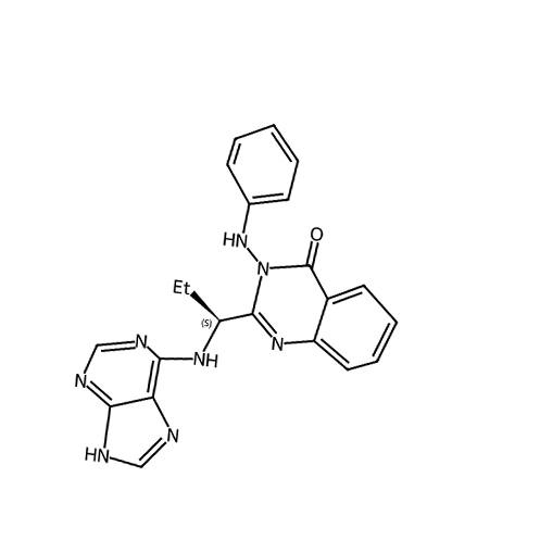 CC[C@H](Nc1ncnc2[nH]cnc12)c1nc2ccccc2c(=O)n1Nc1ccccc1